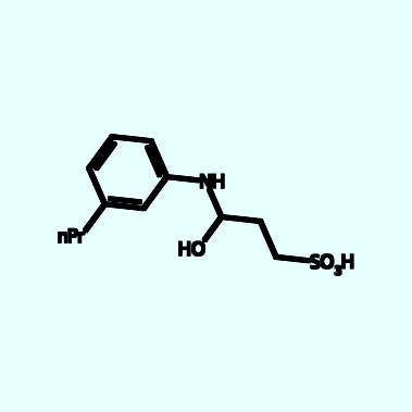 CCCc1cccc(NC(O)CCS(=O)(=O)O)c1